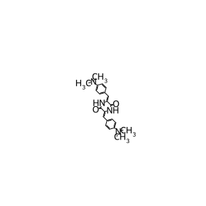 CN(C)c1ccc(C=c2[nH]c(=O)c(=Cc3ccc(N(C)C)cc3)[nH]c2=O)cc1